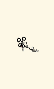 COC(=O)CCCO[C@@H]1NC(=O)[C@H]1NC(c1ccccc1)(c1ccccc1)c1ccccc1